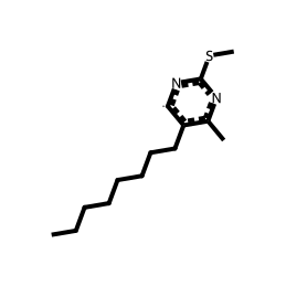 CCCCCCCCc1[c]nc(SC)nc1C